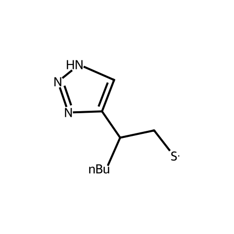 CCCCC(C[S])c1c[nH]nn1